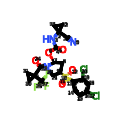 N#CC1(NC(=O)O[C@H]2C[C@@H](S(=O)(=O)c3ccc(Cl)cc3Cl)CN2C(=O)C2(C(F)(F)F)CC2)CC1